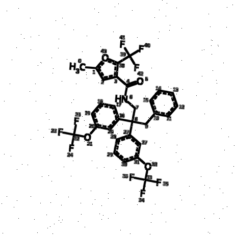 Cc1cc(C(=O)NCC(Cc2ccccc2)(c2cccc(OC(F)(F)F)c2)c2cccc(OC(F)(F)F)c2)c(C(F)(F)F)o1